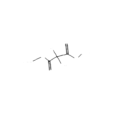 CCCCCCOC(=O)C(C(=O)OCCCCCC)(C(C)(C)C)C(C)(C)C